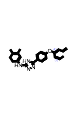 C=C/C=C(\C=C/C)Oc1ccc(-c2nnc(NC3=CC(C)=C(C)CC3)[nH]2)cc1